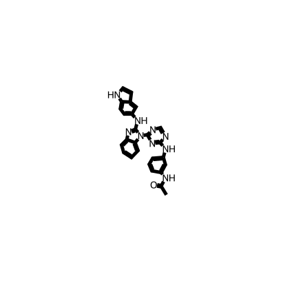 CC(=O)Nc1cccc(Nc2ncnc(-n3c(Nc4ccc5[nH]ccc5c4)nc4ccccc43)n2)c1